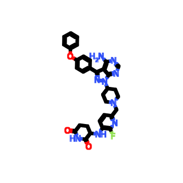 Nc1ncnc2c1c(-c1ccc(Oc3ccccc3)cc1)nn2C1CCN(Cc2ccc(NC3CCC(=O)NC3=O)c(F)n2)CC1